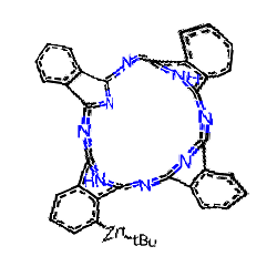 C[C](C)(C)[Zn][c]1cccc2c3nc4nc(nc5[nH]c(nc6nc(nc([nH]3)c12)-c1ccccc1-6)c1ccccc51)-c1ccccc1-4